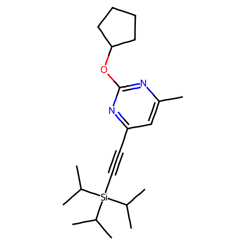 Cc1cc(C#C[Si](C(C)C)(C(C)C)C(C)C)nc(OC2CCCC2)n1